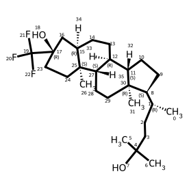 C[C@H](CCC(C)(C)O)[C@@H]1CC[C@H]2[C@@H]3CC[C@@H]4C[C@@](O)(C(F)(F)F)CC[C@]4(C)[C@H]3CC[C@@]21C